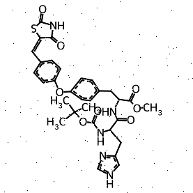 COC(=O)C(Cc1ccc(Oc2ccc(C=C3SC(=O)NC3=O)cc2)cc1)NC(=O)C(Cc1c[nH]cn1)NC(=O)OC(C)(C)C